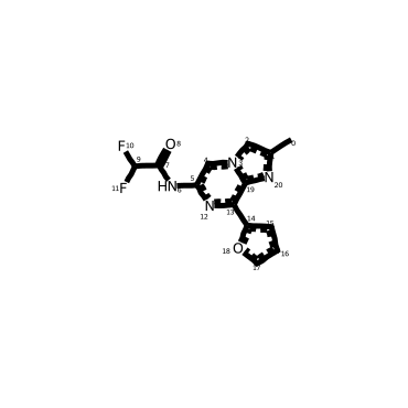 Cc1cn2cc(NC(=O)C(F)F)nc(-c3ccco3)c2n1